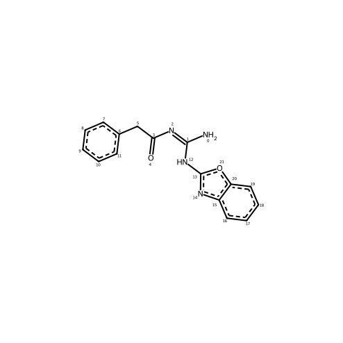 N/C(=N/C(=O)Cc1ccccc1)Nc1nc2ccccc2o1